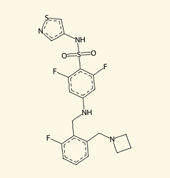 O=S(=O)(Nc1cnsc1)c1c(F)cc(NCc2c(F)cccc2CN2CCC2)cc1F